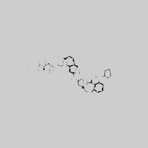 C[Si](C)(C)CCOCn1c(=O)ccc2cnc(O[C@H]3C[C@@H]4COc5cccc(OC6CCCC6)c5C(=O)N4C3)cc21